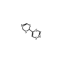 [C]1=NSC=C(C2SC=NCS2)S1